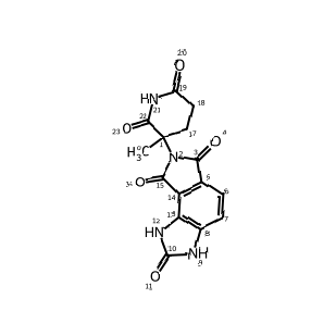 CC1(N2C(=O)c3ccc4[nH]c(=O)[nH]c4c3C2=O)CCC(=O)NC1=O